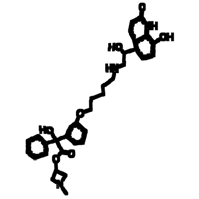 CN1CC(OC(=O)C(O)(c2ccccc2)c2cccc(OCCCCCNCC(O)c3ccc(O)c4[nH]c(=O)ccc34)c2)C1